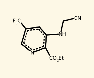 CCOC(=O)c1ncc(C(F)(F)F)cc1NCC#N